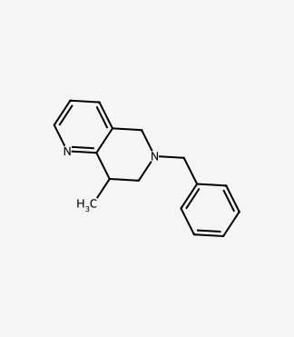 CC1CN(Cc2ccccc2)Cc2cccnc21